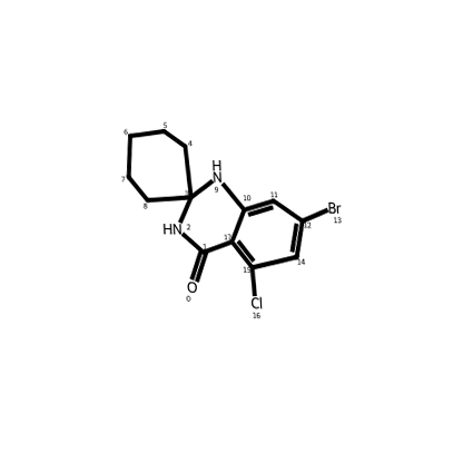 O=C1NC2(CCCCC2)Nc2cc(Br)cc(Cl)c21